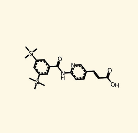 C[Si](C)(C)c1cc(C(=O)Nc2ccc(C=CC(=O)O)cn2)cc([Si](C)(C)C)c1